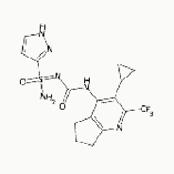 NS(=O)(=NC(=O)Nc1c2c(nc(C(F)(F)F)c1C1CC1)CCC2)c1cc[nH]n1